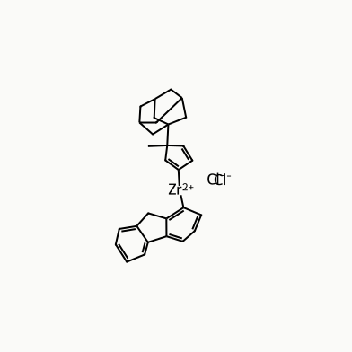 CC1(C23CC4CC(CC(C4)C2)C3)C=C[C]([Zr+2][c]2cccc3c2Cc2ccccc2-3)=C1.[Cl-].[Cl-]